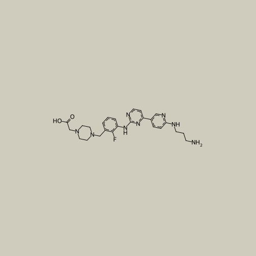 NCCCNc1ccc(-c2ccnc(Nc3cccc(CN4CCN(CC(=O)O)CC4)c3F)n2)cn1